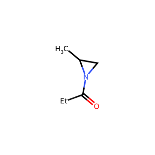 CCC(=O)N1CC1C